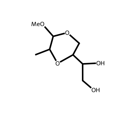 COC1OCC(C(O)CO)OC1C